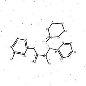 Cc1cccc(CC(=O)N(C)[C@H](CN2CCCCC2)c2ccccc2)c1